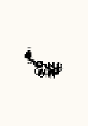 COc1ccc2ncc(F)c([C@@H](N)CC[C@@H]3CCN(CCSc4ccc(F)s4)C[C@@H]3CC(=O)O)c2c1